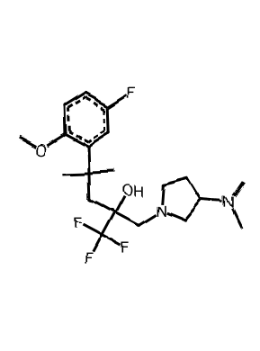 COc1ccc(F)cc1C(C)(C)CC(O)(CN1CCC(N(C)C)C1)C(F)(F)F